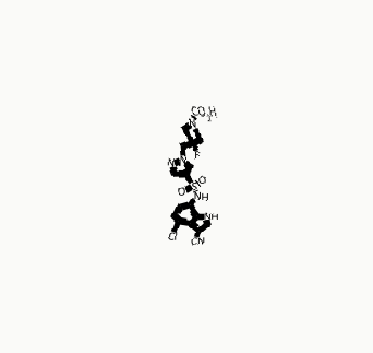 N#Cc1c[nH]c2c(NS(=O)(=O)c3cnn(CC4(F)CN(C(=O)O)C4)c3)ccc(Cl)c12